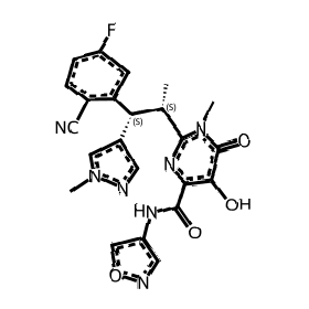 C[C@H](c1nc(C(=O)Nc2cnoc2)c(O)c(=O)n1C)[C@H](c1cnn(C)c1)c1cc(F)ccc1C#N